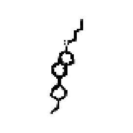 CCCCOc1ccc2cc(C3=CCC(CC)CC3)ccc2c1